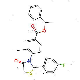 Cc1cc(C(=O)OC(C)c2ccccc2)ccc1N1C(=O)CSC1c1ccc(F)cc1